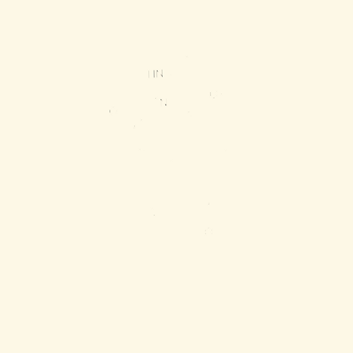 CCCOc1ccc2c3c(cccc13)C(=O)N(NC)C2=O